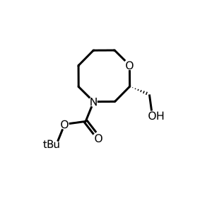 CC(C)(C)OC(=O)N1CCCCO[C@H](CO)C1